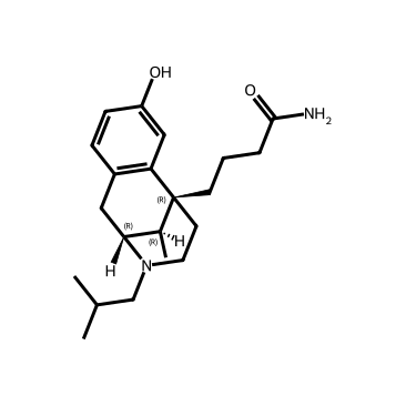 CC(C)CN1CC[C@@]2(CCCC(N)=O)c3cc(O)ccc3C[C@@H]1[C@@H]2C